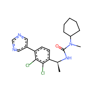 C[C@H](NC(=O)N(C)C1CCCCC1)c1ccc(-c2cncnc2)c(Cl)c1Cl